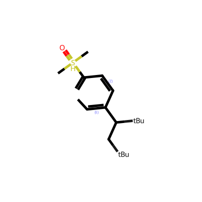 C=C(/C=C\C(=C/C)C(CC(C)(C)C)C(C)(C)C)[SH](C)(C)=O